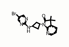 CC1(C)C(=O)N([C@H]2C[C@H](Nc3ncc(Br)cn3)C2)c2ncccc21